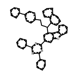 c1ccc(-c2ccc(CCC(c3cccc4ccccc34)c3cc(-c4nc(-c5ccccc5)nc(-c5ccccc5)n4)cc4oc5ccccc5c34)cc2)cc1